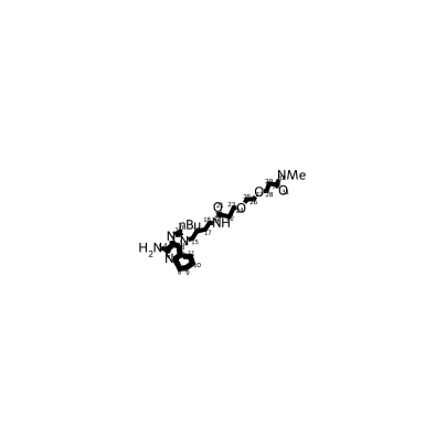 CCCCc1nc2c(N)nc3ccccc3c2n1CCCCNC(=O)CCOCCOCCC(=O)NC